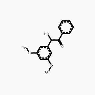 COc1cc(OC)cc(C(O)C(=O)c2ccccc2)c1